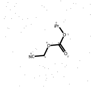 CC(C)OC(=O)OCC#N